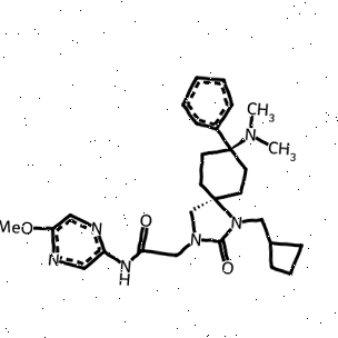 COc1cnc(NC(=O)CN2C[C@]3(CC[C@](c4ccccc4)(N(C)C)CC3)N(CC3CCC3)C2=O)cn1